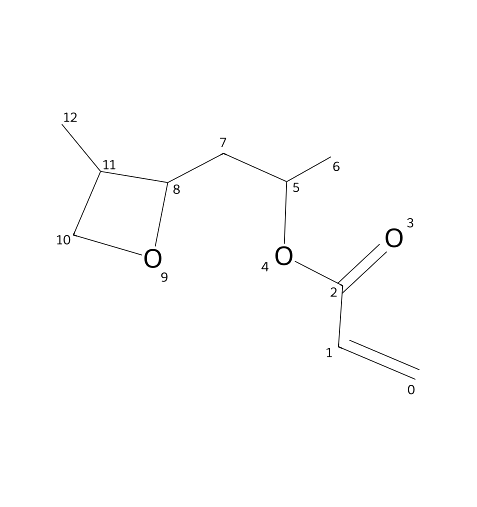 C=CC(=O)OC(C)CC1OCC1C